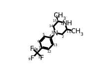 CC1CN(c2ccc(C(F)(F)F)cc2)C[C@@H](C)N1